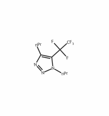 CCCc1nnn(CCC)c1C(F)(F)C(F)(F)F